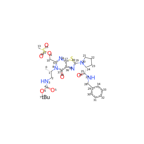 C[C@@H](CNC(=O)OC(C)(C)C)n1c(COS(C)(=O)=O)nc2sc(N3CCC[C@@H]3C(=O)NCc3ccccc3)nc2c1=O